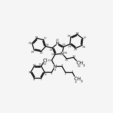 CCCCN(Cc1ccccc1Cl)Cc1c(-c2ccccc2)nc(-c2ccccc2)n1CCC